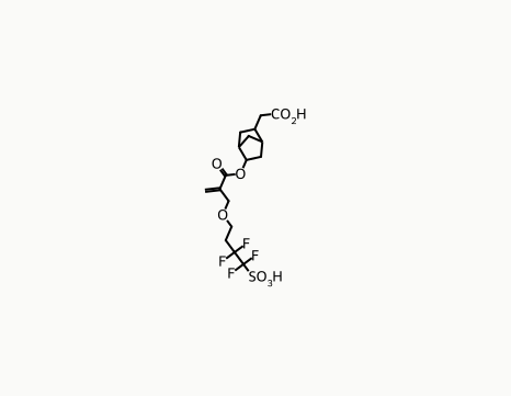 C=C(COCCC(F)(F)C(F)(F)S(=O)(=O)O)C(=O)OC1CC2CC1CC2CC(=O)O